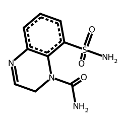 NC(=O)N1CC=Nc2cccc(S(N)(=O)=O)c21